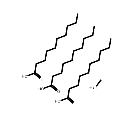 CCCCCCCCCC(=O)O.CCCCCCCCCC(=O)O.CCCCCCCCCC(=O)O.[CH3][SnH]